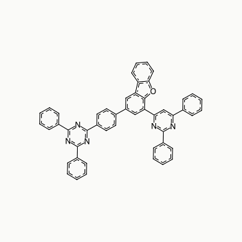 c1ccc(-c2cc(-c3cc(-c4ccc(-c5nc(-c6ccccc6)nc(-c6ccccc6)n5)cc4)cc4c3oc3ccccc34)nc(-c3ccccc3)n2)cc1